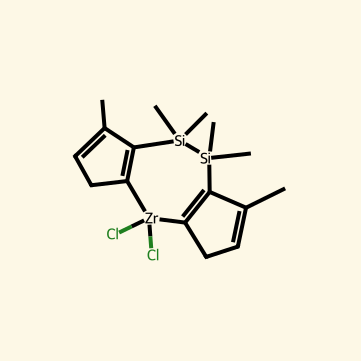 CC1=CC[C]2=C1[Si](C)(C)[Si](C)(C)C1=[C](CC=C1C)[Zr]2([Cl])[Cl]